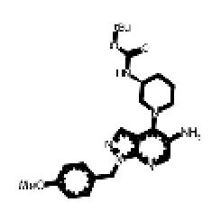 COc1ccc(Cn2ncc3c(N4CCC[C@H](NC(=O)OC(C)(C)C)C4)c(N)cnc32)cc1